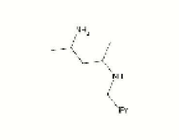 CC(C)CNC(C)CC(C)N